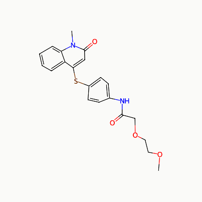 COCCOCC(=O)Nc1ccc(Sc2cc(=O)n(C)c3ccccc23)cc1